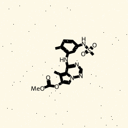 COC(=O)Oc1cn2ncnc(Nc3cc(NS(C)(=O)=O)ccc3C)c2c1C